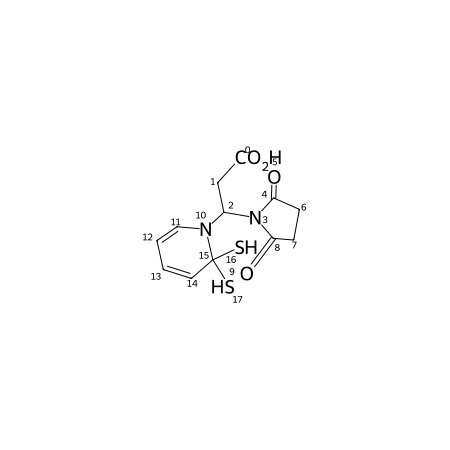 O=C(O)CC(N1C(=O)CCC1=O)N1C=CC=CC1(S)S